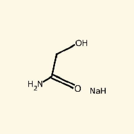 NC(=O)CO.[NaH]